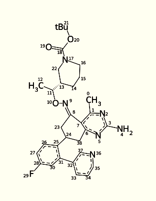 Cc1nc(N)nc2c1/C(=N/OC(C)[C@H]1CCCN(C(=O)OC(C)(C)C)C1)CC(c1ccc(F)cc1-c1cccnc1)C2